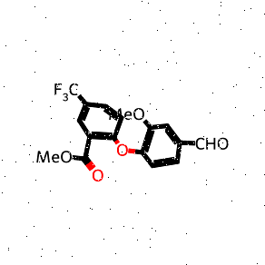 COC(=O)c1cc(C(F)(F)F)ccc1Oc1ccc(C=O)cc1OC